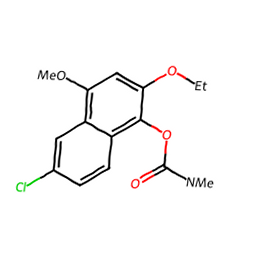 CCOc1cc(OC)c2cc(Cl)ccc2c1OC(=O)NC